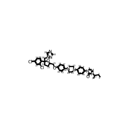 CCC(C)n1ncn(-c2ccc(N3CCN(c4ccc(OCC5CCC(Cn6cncn6)(c6ccc(Cl)cc6Cl)O5)cc4)CC3)cc2)c1=O